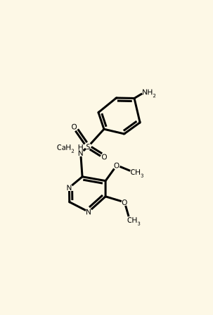 COc1ncnc(NS(=O)(=O)c2ccc(N)cc2)c1OC.[CaH2]